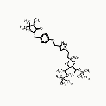 CO[Si]1(CCn2cc(COc3ccc(C[C@@H]4NC(C)(C)N(C)C4=O)cc3)nn2)OC(C(C)O[Si](C)(C)C)C(C(C)O[Si](C)(C)C)O1